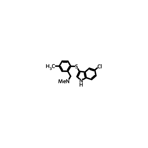 CNCc1cc(C)ccc1Sc1c[nH]c2ccc(Cl)cc12